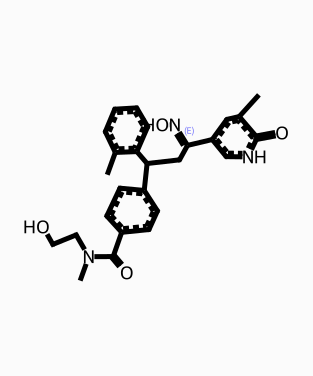 Cc1ccccc1C(C/C(=N\O)c1c[nH]c(=O)c(C)c1)c1ccc(C(=O)N(C)CCO)cc1